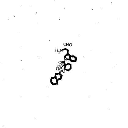 N[C@H](C=O)Cc1cn(C(=O)C2(NS(=O)(=O)c3ccc4ccccc4c3)CCCCC2)c2ccccc12